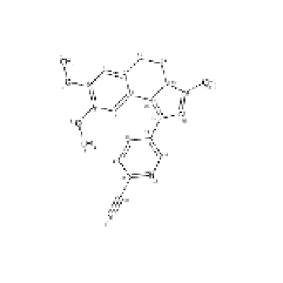 COc1cc2c(cc1OC)-c1c(-c3ccc(C#N)nc3)nc(C)n1CC2